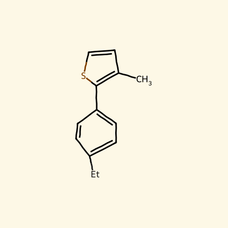 CCc1ccc(-c2sccc2C)cc1